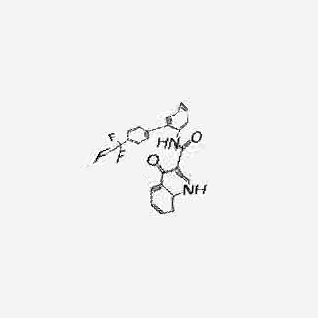 O=C(Nc1ccccc1-c1ccc(C(F)(F)F)cc1)c1c[nH]c2ccccc2c1=O